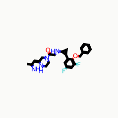 CC(=N)/C=C1/CN(C(=O)CNC2CC2c2cc(F)cc(F)c2OCc2ccccc2)CCN1